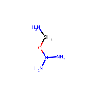 N[SiH2]ON(N)N